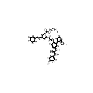 CCOC(=O)N1CC(OCc2ccccc2)C[C@H]1CCOc1ccc(NC(=O)Nc2ccc(F)cc2)cc1-c1ccnn1C